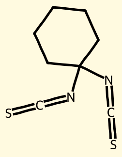 S=C=NC1(N=C=S)CCCCC1